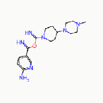 CN1CCN(C2CCN(C(=N)OC(=N)c3ccc(N)nc3)CC2)CC1